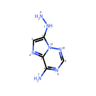 NNc1cnc2c(N)ncnn12